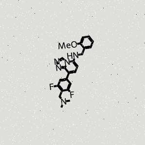 COc1ccccc1CNc1ccc(-c2cc(F)c(CN(C)C)c(F)c2)c2nncn12